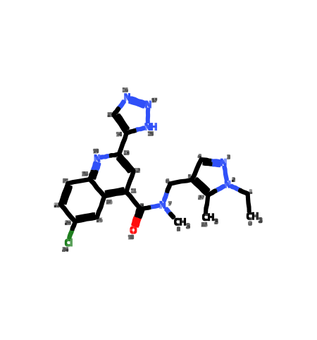 CCn1ncc(CN(C)C(=O)c2cc(-c3cnn[nH]3)nc3ccc(Cl)cc23)c1C